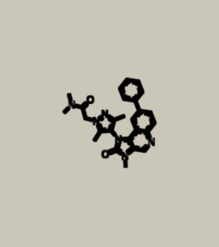 Cc1nn(CC(=O)N(C)C)c(C)c1-n1c(=O)n(C)c2cnc3ccc(-c4ccccc4)cc3c21